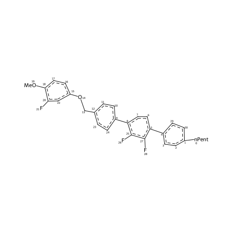 CCCCCc1ccc(-c2ccc(-c3ccc(COc4ccc(OC)c(F)c4)cc3)c(F)c2F)cc1